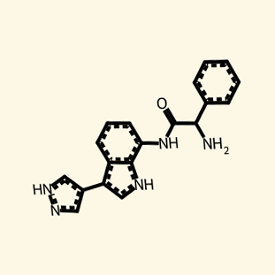 NC(C(=O)Nc1cccc2c(-c3cn[nH]c3)c[nH]c12)c1ccccc1